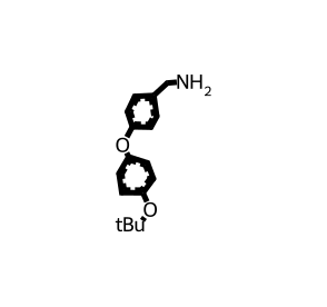 CC(C)(C)Oc1ccc(Oc2ccc(CN)cc2)cc1